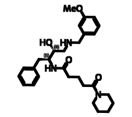 COc1cccc(CNC[C@@H](O)[C@H](Cc2ccccc2)NC(=O)CCCC(=O)N2CCCCC2)c1